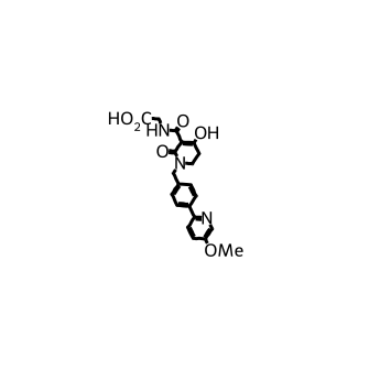 COc1ccc(-c2ccc(CN3CCC(O)=C(C(=O)NCC(=O)O)C3=O)cc2)nc1